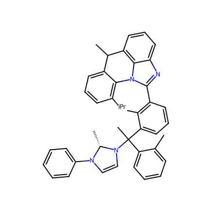 Cc1ccccc1C(C)(c1cccc(-c2nc3cccc4c3n2-c2c(C(C)C)cccc2C4C)c1C)N1C=CN(c2ccccc2)[C@@H]1C